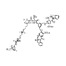 COc1cc2c(cc1OCc1cc(COc3cc4c(cc3OC)C(=O)N3c5ccccc5C[C@H]3CN4)cc(NC(=O)[C@H](C)NC(=O)[C@H](C)NC(=O)CCCCC(=O)NCCCONC(=O)OCCS(C)(C)C)c1)N=C[C@@H]1Cc3ccccc3N1C2=O